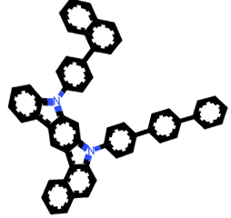 c1ccc(-c2ccc(-c3ccc(-n4c5cc6c(cc5c5c7ccccc7ccc54)c4ccccc4n6-c4ccc(-c5cccc6ccccc56)cc4)cc3)cc2)cc1